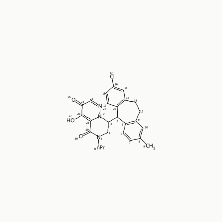 CCCN1CC(C2c3ccc(C)cc3CCc3cc(Cl)ccc32)n2ncc(=O)c(O)c2C1=O